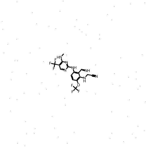 CNc1nc(Nc2ccc(OC(F)(F)F)c(NCC#N)c2C=N)ncc1C(F)(F)F